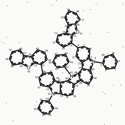 c1ccc(-n2c3ccc(-c4cccc5c4oc4ccccc45)cc3c3c2ccc2c4ccc5c(c6cc(-c7cccc8c7oc7ccccc78)ccc6n5-c5ccccc5)c4n(-c4ccccc4)c23)cc1